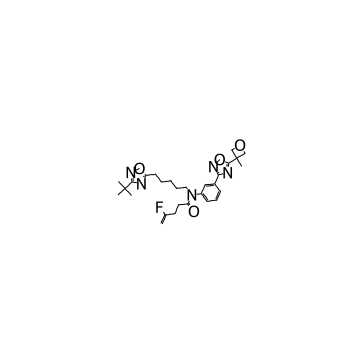 C=C(F)CCC(=O)N(CCCCCc1nc(C(C)(C)C)no1)c1cccc(-c2noc(C3(C)COC3)n2)c1